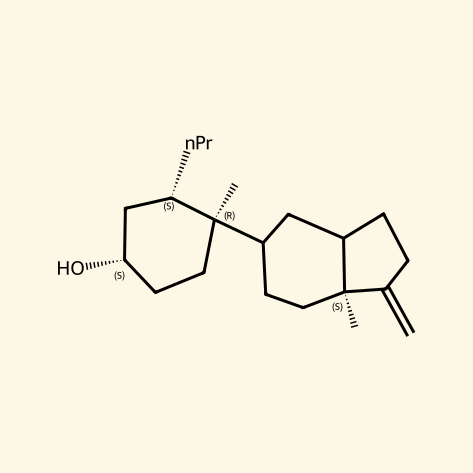 C=C1CCC2CC([C@@]3(C)CC[C@H](O)C[C@@H]3CCC)CC[C@]12C